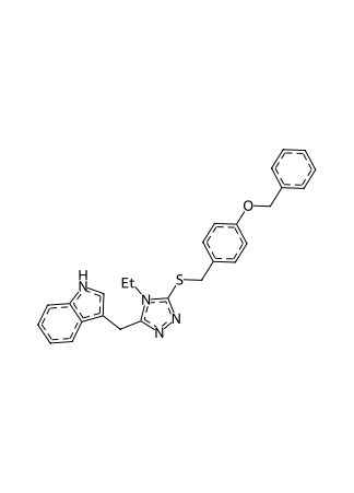 CCn1c(Cc2c[nH]c3ccccc23)nnc1SCc1ccc(OCc2ccccc2)cc1